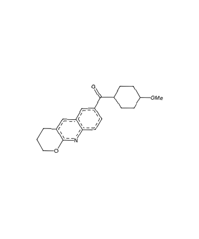 COC1CCC(C(=O)c2ccc3nc4c(cc3c2)CCCO4)CC1